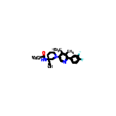 C#CC1(NC(=O)OC)CCCN(c2cnc(-c3ccc(F)c(F)c3)c(C)c2C(=O)O)C1